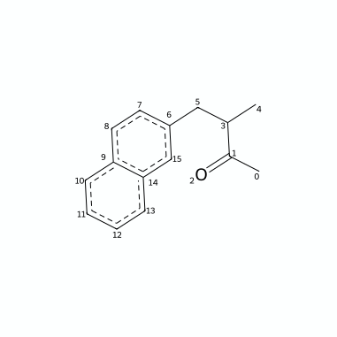 CC(=O)C(C)Cc1ccc2ccccc2c1